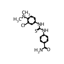 CN(C)c1ccc(NC(=S)Nc2ccc(C(N)=O)cc2)cc1Cl